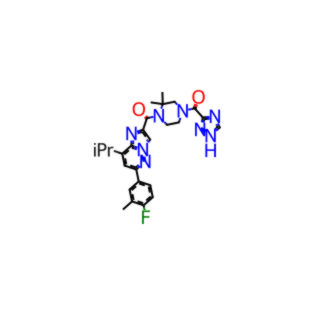 Cc1cc(-c2cc(C(C)C)c3nc(C(=O)N4CCN(C(=O)c5nc[nH]n5)CC4(C)C)cn3n2)ccc1F